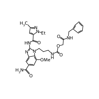 CCn1nc(C)cc1C(=O)Nc1nc2cc(C(N)=O)cc(OC)c2n1CCCNC(=O)OCC(=O)NCc1ccccc1